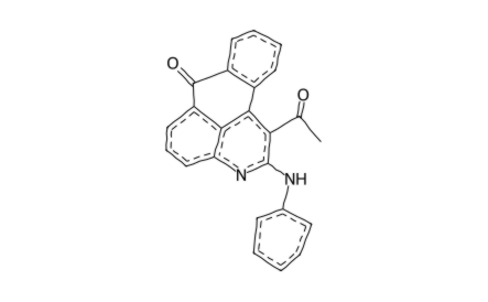 CC(=O)c1c(Nc2ccccc2)nc2cccc3c2c1-c1ccccc1C3=O